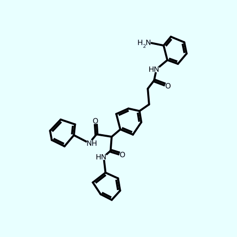 Nc1ccccc1NC(=O)CCc1ccc(C(C(=O)Nc2ccccc2)C(=O)Nc2ccccc2)cc1